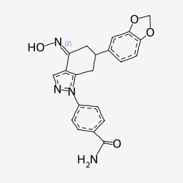 NC(=O)c1ccc(-n2ncc3c2CC(c2ccc4c(c2)OCO4)C/C3=N/O)cc1